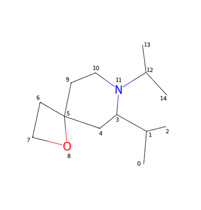 CC(C)C1CC2(CCO2)CCN1C(C)C